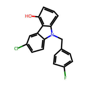 Oc1cccc2c1c1cc(Cl)ccc1n2Cc1ccc(F)cc1